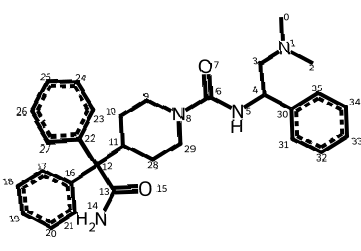 CN(C)CC(NC(=O)N1CCC(C(C(N)=O)(c2ccccc2)c2ccccc2)CC1)c1ccccc1